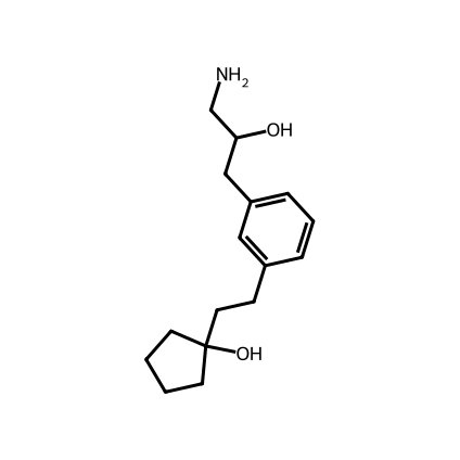 NCC(O)Cc1cccc(CCC2(O)CCCC2)c1